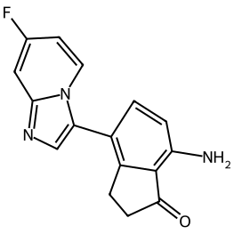 Nc1ccc(-c2cnc3cc(F)ccn23)c2c1C(=O)CC2